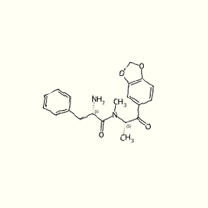 C[C@@H](C(=O)c1ccc2c(c1)OCO2)N(C)C(=O)[C@@H](N)Cc1ccccc1